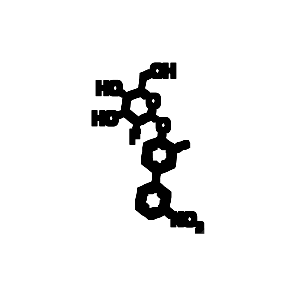 Cc1cc(-c2cccc([N+](=O)[O-])c2)ccc1O[C@H]1O[C@H](CO)[C@@H](O)[C@H](O)[C@@H]1F